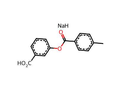 Cc1ccc(C(=O)Oc2cccc(C(=O)O)c2)cc1.[NaH]